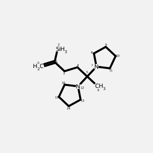 C=C([SiH3])CCC(C)(N1CCCC1)N1CCCC1